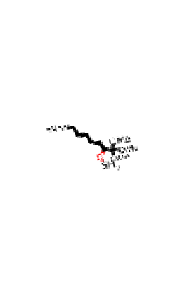 CCCCCCCCCCCCCCC(O[SiH3])C(OC)(OC)OC